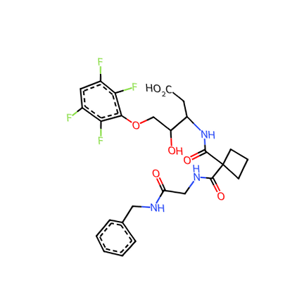 O=C(O)CC(NC(=O)C1(C(=O)NCC(=O)NCc2ccccc2)CCC1)C(O)COc1c(F)c(F)cc(F)c1F